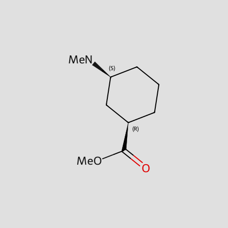 CN[C@H]1CCC[C@@H](C(=O)OC)C1